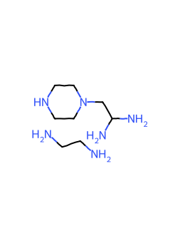 NC(N)CN1CCNCC1.NCCN